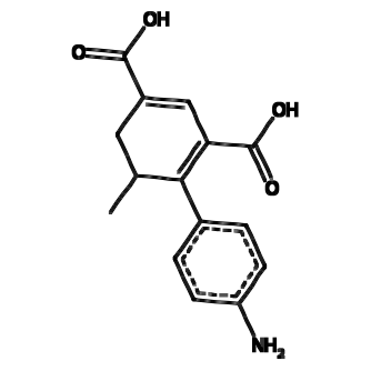 CC1CC(C(=O)O)=CC(C(=O)O)=C1c1ccc(N)cc1